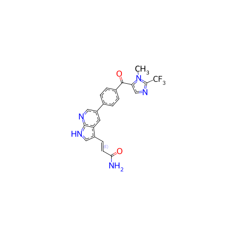 Cn1c(C(=O)c2ccc(-c3cnc4[nH]cc(/C=C/C(N)=O)c4c3)cc2)cnc1C(F)(F)F